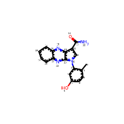 Cc1ccc(O)cc1-n1cc(C(N)=O)c2nc3ccccc3nc21